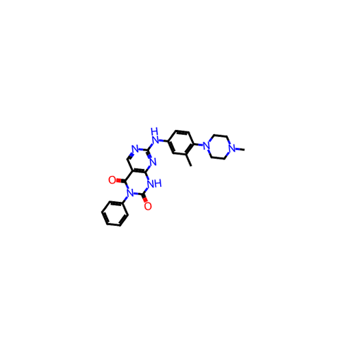 Cc1cc(Nc2ncc3c(=O)n(-c4ccccc4)c(=O)[nH]c3n2)ccc1N1CCN(C)CC1